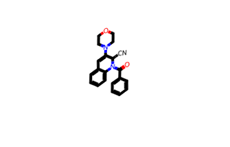 N#CC1C(N2CCOCC2)=Cc2ccccc2N1C(=O)c1ccccc1